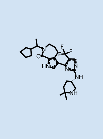 CC(C1CCCC1)N1CCCc2c(-c3nc(N[C@H]4CCC(C)(C)NC4)ncc3C(F)(F)F)c[nH]c2C1=O